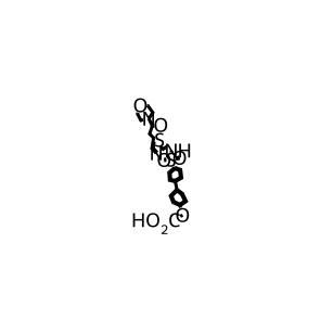 O=C(O)Oc1ccc(-c2ccc(S(=O)(=O)Nc3ncc(CC(=O)N4CCOCC4)s3)cc2)cc1